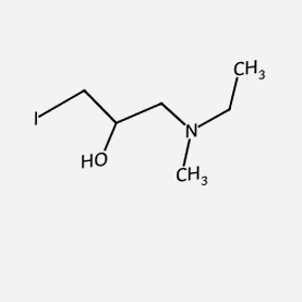 CCN(C)CC(O)CI